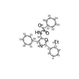 CCc1ccccc1-c1nc(-c2ccccc2)c(NS(=O)(=O)c2ccccc2)o1